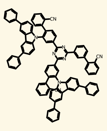 N#Cc1ccccc1-c1cccc(-c2nc(-c3ccc(-c4ccccc4C#N)c(-n4c5ccc(-c6ccccc6)cc5c5cc(-c6ccccc6)ccc54)c3)nc(-c3ccc(-c4ccccc4C#N)c(-n4c5ccc(-c6ccccc6)cc5c5cc(-c6ccccc6)ccc54)c3)n2)c1